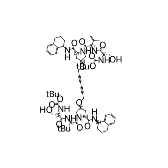 C=C(C)[C@H](NC(=O)[C@H](CO)NC(=O)OC(C)(C)C)C(=O)N1C[C@@H](OCC#CC#CCO[C@H]2C[C@@H](C(=O)N[C@@H]3CCCc4ccccc43)N(C(=O)[C@@H](NC(=O)[C@H](CO)NC(=O)OC(C)(C)C)C(C)(C)C)C2)C[C@H]1C(=O)NC1CCCc2ccccc21